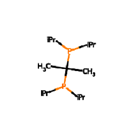 CC(C)P(C(C)C)C(C)(C)P(C(C)C)C(C)C